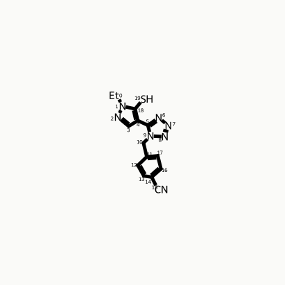 CCn1ncc(-c2nnnn2Cc2ccc(C#N)cc2)c1S